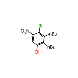 CCCCc1c(O)cc([N+](=O)[O-])c(Br)c1CCCC